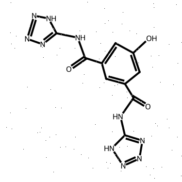 O=C(Nc1nnn[nH]1)c1cc(O)cc(C(=O)Nc2nnn[nH]2)c1